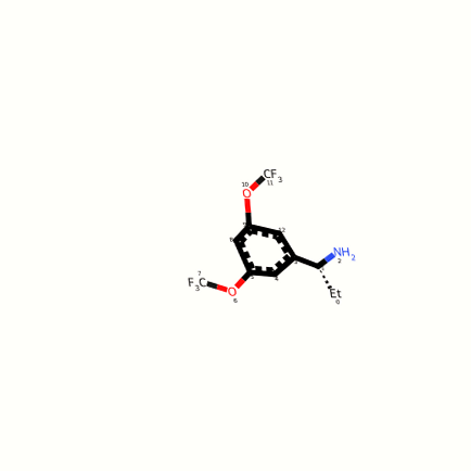 CC[C@@H](N)c1cc(OC(F)(F)F)cc(OC(F)(F)F)c1